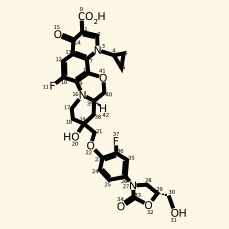 O=C(O)c1cn(C2CC2)c2c3c(c(F)cc2c1=O)N1CCC(O)(COc2ccc(N4C[C@H](CO)OC4=O)cc2F)C[C@@H]1CO3